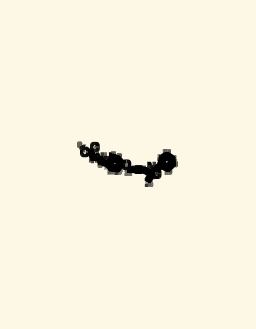 COC(=O)CNCc1ccc(OCC#Cc2nc(-c3ccccc3)oc2C)cc1